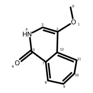 COc1c[nH]c(=O)c2ccccc12